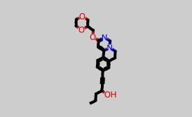 CCCC(O)C#Cc1ccc2c(c1)CCN1CN=C(OCC3COCCO3)C=C21